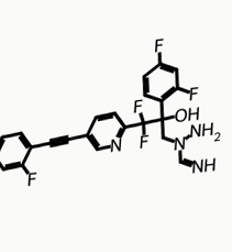 N=CN(N)CC(O)(c1ccc(F)cc1F)C(F)(F)c1ccc(C#Cc2ccccc2F)cn1